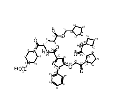 CCOC(=O)N1CCN(C(=O)[C@H](CCC(=O)OCC2CCOC2)NC(=O)c2cc(OCC(=O)N3CCC[C@H]3C(=O)NC3CCC3)n(-c3ccccc3)n2)CC1